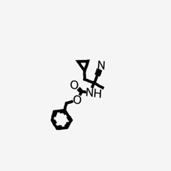 CC(C#N)(CC1CC1)NC(=O)OCc1ccccc1